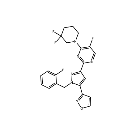 Fc1ccccc1Cn1nc(-c2ncc(F)c(N3CCCC(F)(F)C3)n2)cc1-c1ccon1